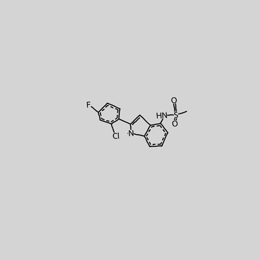 CS(=O)(=O)Nc1cccc2c1C=C(c1ccc(F)cc1Cl)[N]2